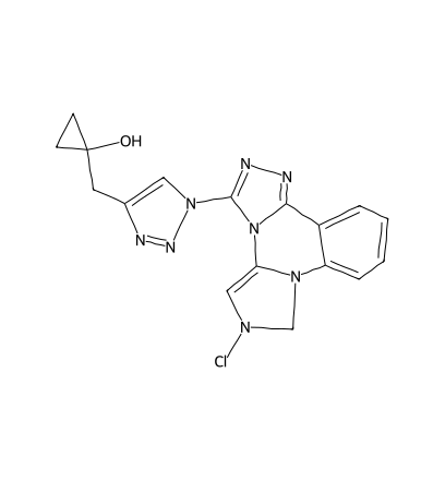 OC1(Cc2cn(-c3nnc4n3C3=CN(Cl)CN3c3ccccc3-4)nn2)CC1